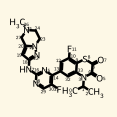 CC(C)n1c(=O)c(=O)sc2c(F)cc(-c3nc(Nc4cc5n(n4)CCN(C)C5)ncc3F)cc21